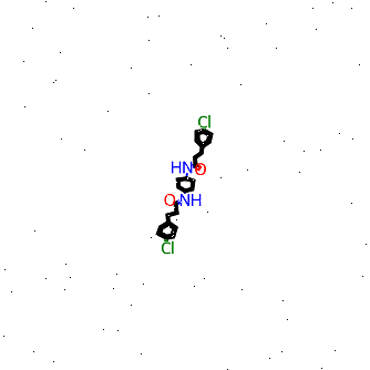 O=C(CCc1ccc(Cl)cc1)N[C@H]1CC[C@H](NC(=O)CCc2ccc(Cl)cc2)CC1